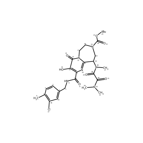 Cc1ccc(CNC(=O)c2nc3n(c(=O)c2O)CCN(C(=O)OC(C)(C)C)CC3N(C)C(=O)C(=O)N(C)C)cc1Cl